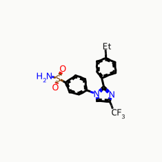 CCc1ccc(-c2nc(C(F)(F)F)cn2-c2ccc(S(N)(=O)=O)cc2)cc1